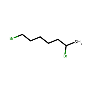 [SiH3]C(Br)CCCCCBr